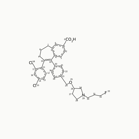 O=C(O)c1ccc2c(c1)CCCC(c1ccc(Cl)cc1Cl)=C2c1ccc(COC2CCN(CCCF)C2)cc1